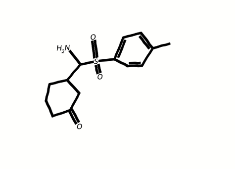 Cc1ccc(S(=O)(=O)C(N)C2CCCC(=O)C2)cc1